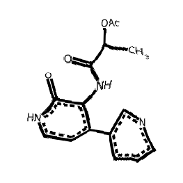 CC(=O)OC(C)C(=O)Nc1c(-c2cccnc2)cc[nH]c1=O